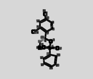 O=S(=O)(O[C@H](CBr)c1ccc(Cl)cc1Cl)c1ccccc1